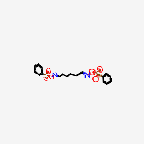 O=S(=O)(ON=CCCCCC=NOS(=O)(=O)c1ccccc1)c1ccccc1